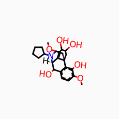 COC1=C2[C@H]3C(O)c4ccc(OC)c(O)c4[C@@]2(CCN3C2CCCC2)CC(O)C1O